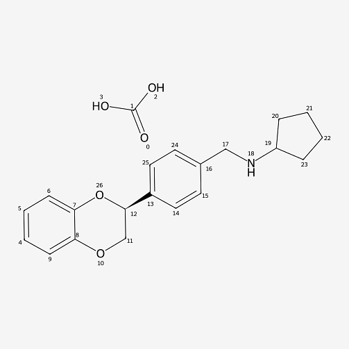 O=C(O)O.c1ccc2c(c1)OC[C@H](c1ccc(CNC3CCCC3)cc1)O2